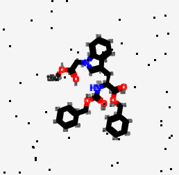 CC(C)(C)OC(=O)Cn1cc(C[C@H](NC(=O)OCc2ccccc2)C(=O)OCc2ccccc2)c2ccccc21